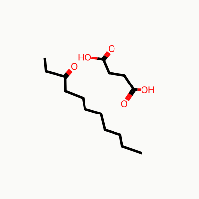 CCCCCCCCC(=O)CC.O=C(O)CCC(=O)O